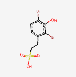 O=S(=O)(O)CCc1ccc(Br)c(O)c1Br